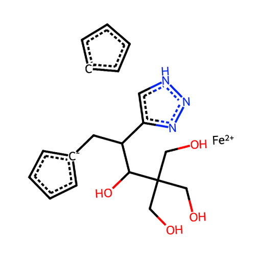 OCC(CO)(CO)C(O)C(C[c-]1cccc1)c1c[nH]nn1.[Fe+2].c1cc[cH-]c1